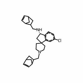 Clc1ccc2c(c1)C1(CCN(CC3CC4C=CC3C4)CC1)C[C@@H]2NCC1CC2C=CC1C2